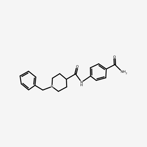 NC(=O)c1ccc(NC(=O)C2CCN(Cc3ccccc3)CC2)cc1